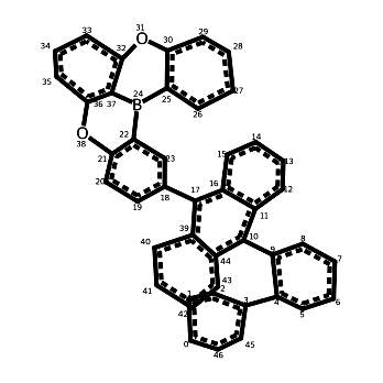 c1ccc(-c2ccccc2-c2c3ccccc3c(-c3ccc4c(c3)B3c5ccccc5Oc5cccc(c53)O4)c3ccccc23)cc1